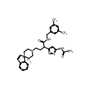 BC(=O)Nc1cc(C(CCN2CC[C@@]3(C=Cc4ccccc43)[C@@H](C)C2)C(=O)NCc2cc(C(F)(F)F)cc(C(F)(F)F)c2)ns1